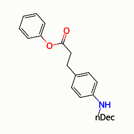 CCCCCCCCCCNc1ccc(CCC(=O)Oc2ccccc2)cc1